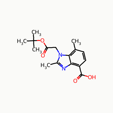 Cc1ccc(C(=O)O)c2nc(C)n(CC(=O)OC(C)(C)C)c12